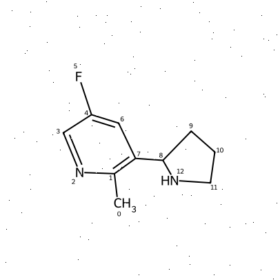 Cc1ncc(F)cc1C1CCCN1